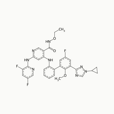 CCONC(=O)c1cnc(Nc2ncc(F)cc2F)cc1Nc1ccccc1-c1cc(F)cc(-c2ncn(C3CC3)n2)c1OC